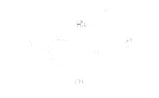 Cc1cc(Cl)cc2c1OC(C(C)C)C(=O)N2